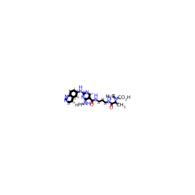 CCCNc1nc(Nc2ccc3nnccc3c2)ncc1C(=O)NCCCNC(=O)C(C)N(C)C(=O)O